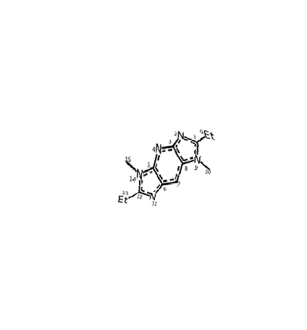 CCc1nc2nc3c(cc2n1C)nc(CC)n3C